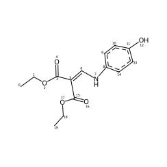 CCOC(=O)C(=CNc1ccc(O)cc1)C(=O)OCC